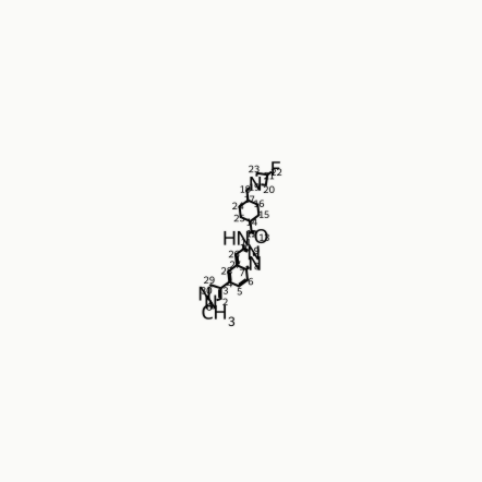 Cn1cc(-c2ccc3nnc(NC(=O)C4CCC(CN5CC(F)C5)CC4)cc3c2)cn1